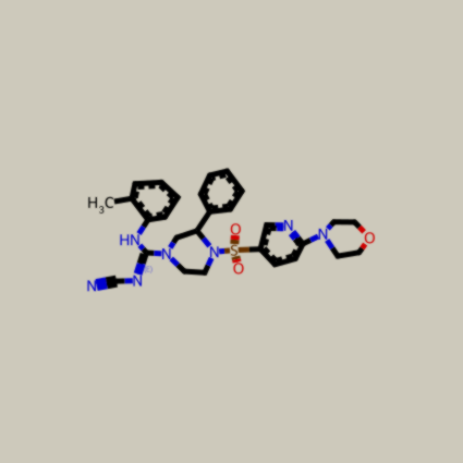 Cc1ccccc1N/C(=N\C#N)N1CCN(S(=O)(=O)c2ccc(N3CCOCC3)nc2)C(c2ccccc2)C1